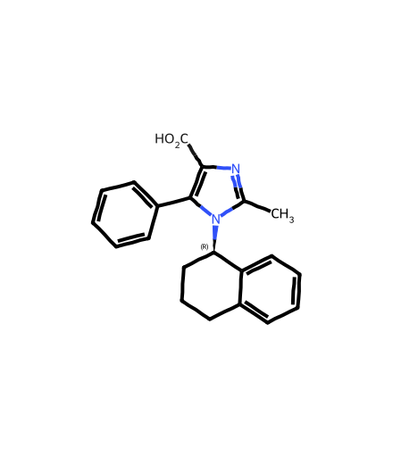 Cc1nc(C(=O)O)c(-c2ccccc2)n1[C@@H]1CCCc2ccccc21